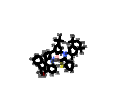 Cc1cc2c(cc1N1c3cc(C(C)(C)C)cc4c3B(c3sc5ccccc5c31)N1c3ccccc3C3(c5ccccc5-c5ccccc53)c3cccc-4c31)C(C)(C)CCC2(C)C